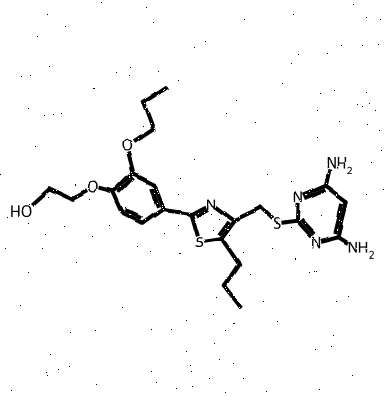 CCCOc1cc(-c2nc(CSc3nc(N)cc(N)n3)c(CCC)s2)ccc1OCCO